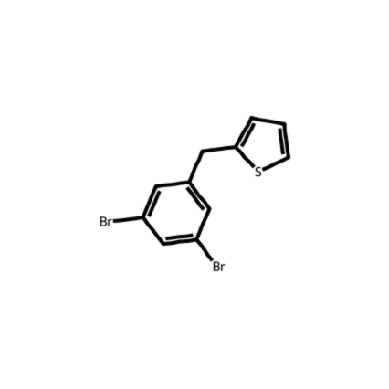 Brc1cc(Br)cc(Cc2cccs2)c1